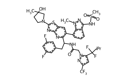 CC(C)C(F)(F)c1cc(C(F)(F)F)nn1CC(=O)NC(Cc1cc(F)cc(F)c1)c1nc2nc(N3CCC(C)(O)C3)sc2cc1-c1cccc2c(NS(C)(=O)=O)nn(C)c12